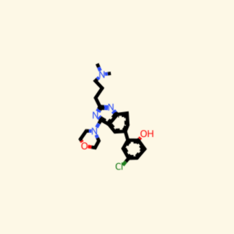 CN(C)CCCc1nc(N2CCOCC2)c2cc(-c3cc(Cl)ccc3O)ccc2n1